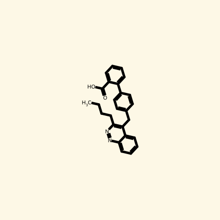 CCCCc1nnc2ccccc2c1Cc1ccc(-c2ccccc2C(=O)O)cc1